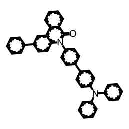 O=c1c2ccccc2c2cc(-c3ccccc3)ccc2n1-c1ccc(-c2ccc(N(c3ccccc3)c3ccccc3)cc2)cc1